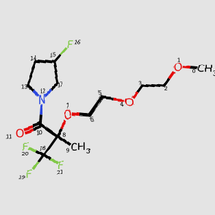 COCCOCCOC(C)(C(=O)N1CCC(F)C1)C(F)(F)F